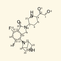 O=CC(=O)C1CCC(N2Cc3c(c(F)cc(F)c3N3C4CNCC3C4)C2=O)CN1